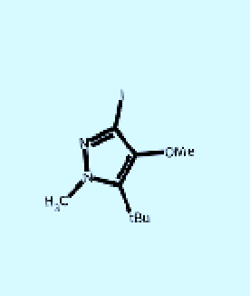 COc1c(I)nn(C)c1C(C)(C)C